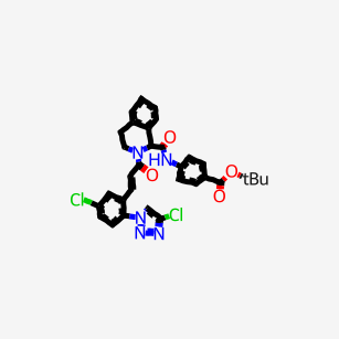 CC(C)(C)OC(=O)c1ccc(NC(=O)C2c3ccccc3CCN2C(=O)C=Cc2cc(Cl)ccc2-n2cc(Cl)nn2)cc1